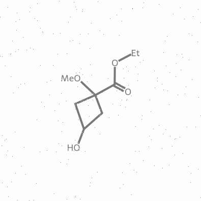 CCOC(=O)C1(OC)CC(O)C1